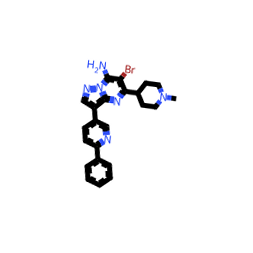 CN1CCC(c2nc3c(-c4ccc(-c5ccccc5)nc4)cnn3c(N)c2Br)CC1